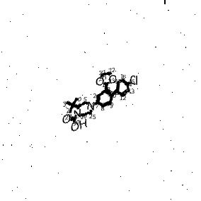 CC(C)(C)C1CN(c2ccc(-c3ccc(Cl)cc3)c(C3OCCO3)c2)CCN1C(=O)O